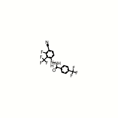 N#Cc1ccc(NNC(=O)c2ccc(C(F)(F)F)cc2)c(C(F)(F)F)c1F